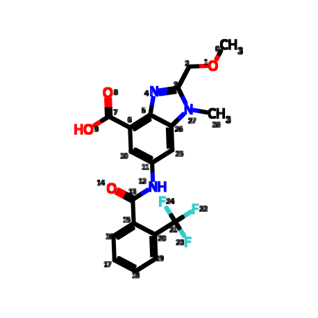 COCc1nc2c(C(=O)O)cc(NC(=O)c3ccccc3C(F)(F)F)cc2n1C